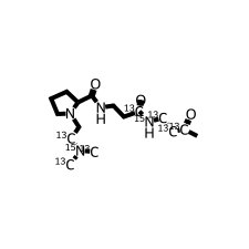 C[13C](=O)[13CH2][13CH2][15NH][13C](=O)CCNC(=O)C1CCCN1C[13CH2][15N]([13CH3])[13CH3]